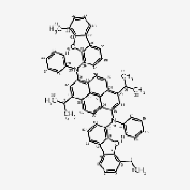 CCc1cccc2c1oc1c(N(c3ccccc3)c3cc(C(C)C)c4ccc5c(N(c6ccccc6)c6cccc7c6oc6c(C)cccc67)cc(C(C)C)c6ccc3c4c65)cccc12